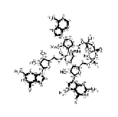 CO[C@@H]1[C@H](OP(=O)(O)OC[C@H]2O[C@@H](n3cnc4c(=O)[nH]c(N)nc43)[C@H](O)[C@@H]2O)[C@@H](COP(=O)(O)OP(=O)(O)OP(=O)(O)OC[C@H]2O[C@@H](n3c[n+](C)c4c(=O)[nH]c(N)nc43)[C@H](O)[C@@H]2CCNC(C)=O)O[C@H]1n1cnc2c(N)ncnc21